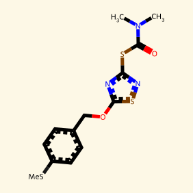 CSc1ccc(COc2nc(SC(=O)N(C)C)ns2)cc1